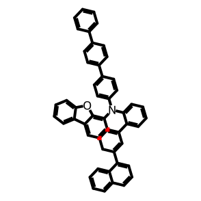 C1=C(c2ccccc2N(c2ccc(-c3ccc(-c4ccccc4)cc3)cc2)c2cccc3c2oc2ccccc23)C=C(c2cccc3ccccc23)CC1